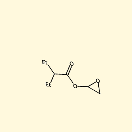 CCC(CC)C(=O)OC1CO1